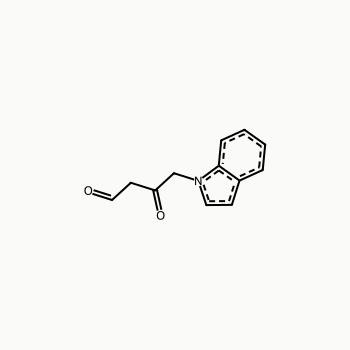 O=CCC(=O)Cn1ccc2ccccc21